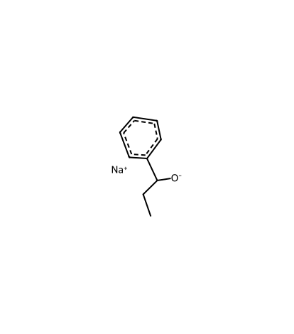 CCC([O-])c1ccccc1.[Na+]